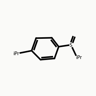 C=S(c1ccc(C(C)C)cc1)C(C)C